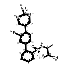 C[C@H](NS(=O)(=O)c1ccccc1-c1ccc(-c2cnc(N)nc2)c(F)c1)C(O)O